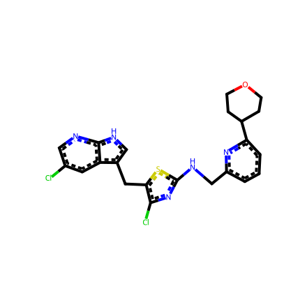 Clc1cnc2[nH]cc(Cc3sc(NCc4cccc(C5CCOCC5)n4)nc3Cl)c2c1